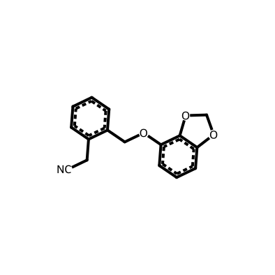 N#CCc1ccccc1COc1cccc2c1OCO2